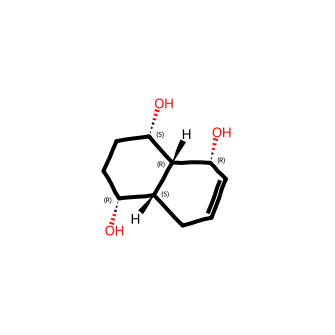 O[C@@H]1C=CC[C@H]2[C@@H]1[C@@H](O)CC[C@H]2O